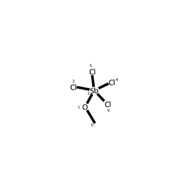 C[O][Sb]([Cl])([Cl])([Cl])[Cl]